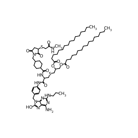 CCCCCCCCCCCCCCCC(=O)OCC(CSCC(NC(=O)C1CCC(CN2C(=O)CC(SCC(=O)NC)C2=O)CC1)C(=O)Nc1ccc(Cn2c(O)nc3c(N)nc(NCCC)nc32)cc1)OC(=O)CCCCCCCCCCCCCCC